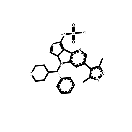 Cc1noc(C)c1-c1cnc2c(c1)N([C@H](c1ccccc1)C1CCOCC1)C1C=NC(NS(=O)(=O)C(C)C)=C21